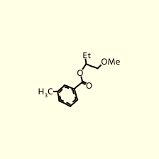 CCC(COC)OC(=O)c1cccc(C)c1